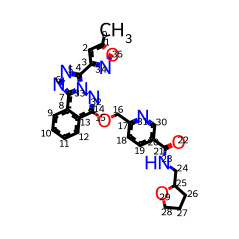 Cc1cc(-c2nnc3c4ccccc4c(OCc4ccc(C(=O)NCC5CCCO5)cn4)nn23)no1